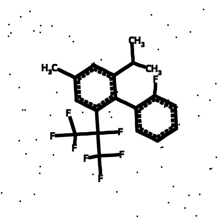 Cc1[c]c(C(C)C)c(-c2ccccc2F)c(C(F)(C(F)(F)F)C(F)(F)F)c1